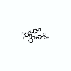 CN(CC(C1CCCCC1)n1c(-c2ccc(Cl)cc2)nc2cc(F)c(F)cc21)c1ccc(C(=O)O)cc1